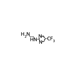 NCCNc1ncc(C(F)(F)F)cn1